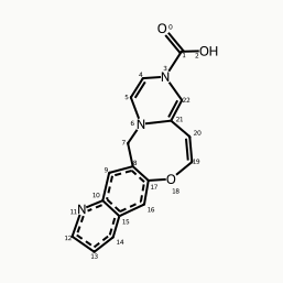 O=C(O)N1C=CN2Cc3cc4ncccc4cc3OC=CC2=C1